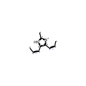 C/C=C\c1nc(C)[nH]c1/C=C\C